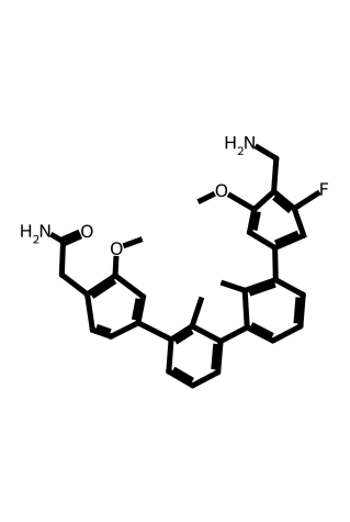 COc1cc(-c2cccc(-c3cccc(-c4cc(F)c(CN)c(OC)c4)c3C)c2C)ccc1CC(N)=O